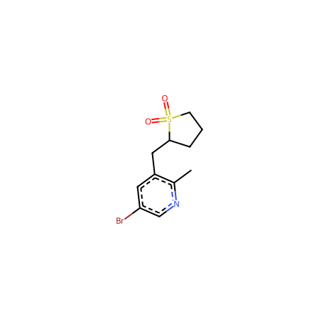 Cc1ncc(Br)cc1CC1CCCS1(=O)=O